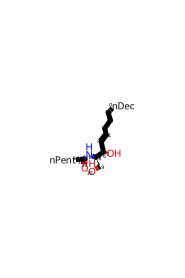 CCCCCCCCCCCCC/C=C/[C@@H](O)[C@H](CO)NC(=O)CCCCC